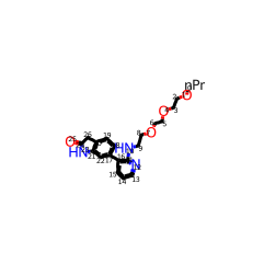 CCCOCCOCCOCCNc1ncccc1-c1ccc2c(c1)NC(=O)C2